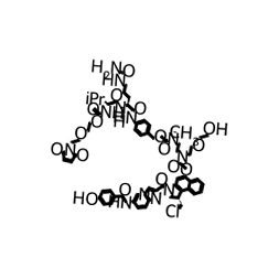 CC(C)[C@H](NC(=O)OCCOCCN1C(=O)C=CC1=O)C(=O)N[C@@H](CCCNC(N)=O)C(=O)Nc1ccc(COC(=O)N(C)CCN(CCOCCO)C(=O)Oc2cc3c(c4ccccc24)[C@H](CCl)CN3C(=O)c2cn3cc(NC(=O)c4ccc(O)cc4)ccc3n2)cc1